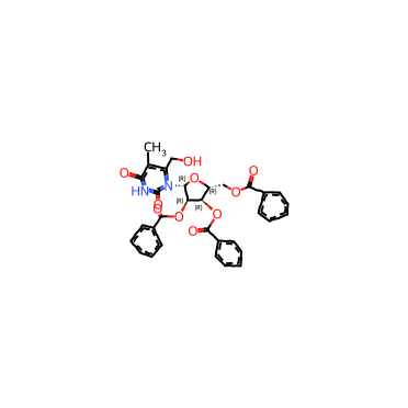 Cc1c(CO)n([C@@H]2O[C@H](COC(=O)c3ccccc3)[C@@H](OC(=O)c3ccccc3)[C@H]2OC(=O)c2ccccc2)c(=O)[nH]c1=O